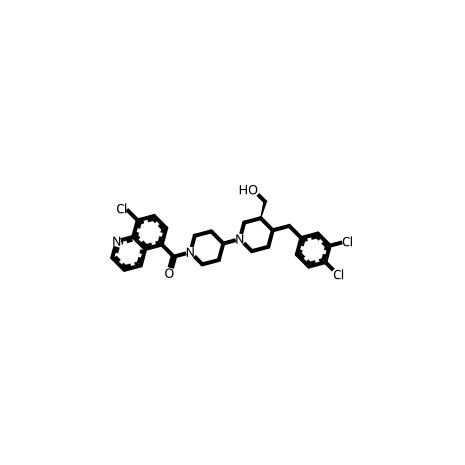 O=C(c1ccc(Cl)c2ncccc12)N1CCC(N2CCC(Cc3ccc(Cl)c(Cl)c3)[C@H](CO)C2)CC1